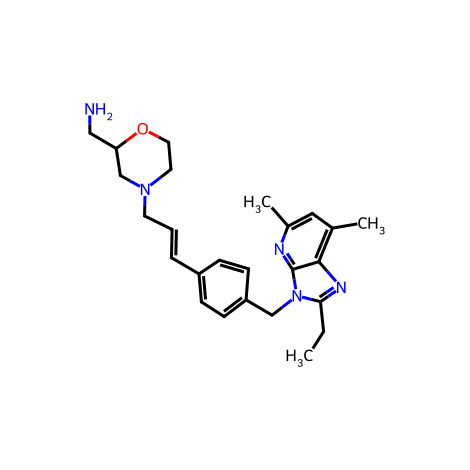 CCc1nc2c(C)cc(C)nc2n1Cc1ccc(C=CCN2CCOC(CN)C2)cc1